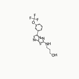 OCCCNc1nn2c(-c3cccc(OC(F)(F)F)c3)cnc2s1